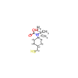 CC(C)(C)N(C(=O)O)C1CCC(CS)CC1